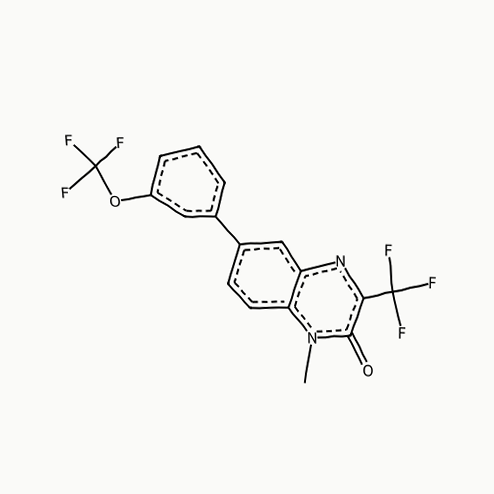 Cn1c(=O)c(C(F)(F)F)nc2cc(-c3cccc(OC(F)(F)F)c3)ccc21